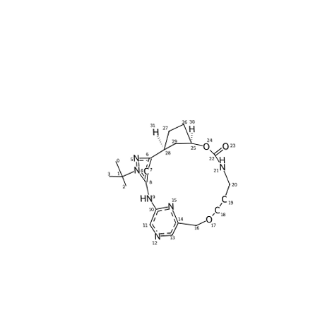 CC(C)(C)n1nc2cc1Nc1cncc(n1)COCCCNC(=O)O[C@@H]1CC[C@H]2C1